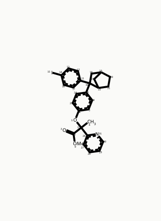 COC(=O)C(C)(Oc1ccc(C2(c3ccc(I)cc3)CC3CCC2C3)cc1)c1ccccn1